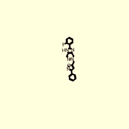 Fc1ccccc1-c1nc2c([nH]1)C=NN(Cc1cc(-c3ccccc3)no1)C2